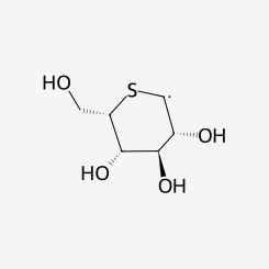 OC[C@@H]1S[CH][C@H](O)[C@@H](O)[C@@H]1O